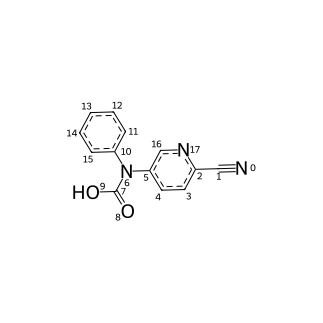 N#Cc1ccc(N(C(=O)O)c2ccccc2)cn1